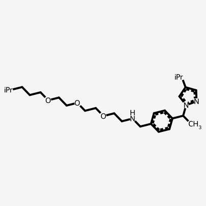 CC(C)CCCOCCOCCOCCNCc1ccc(C(C)n2cc(C(C)C)cn2)cc1